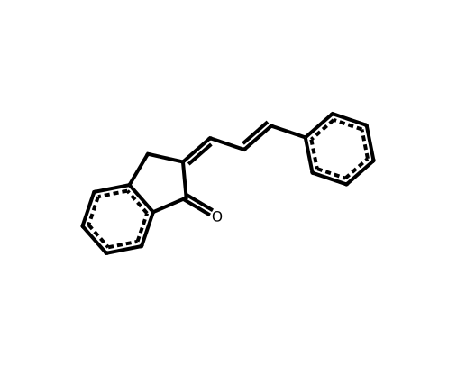 O=C1C(=CC=Cc2ccccc2)Cc2ccccc21